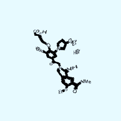 Br.CCOc1cc2c(cc1C(=O)NC)C(=N)N(CC(=O)c1cc(N3CCC(OCC)C3)c(OCCCC(=O)O)c(C(C)(C)C)c1)C2